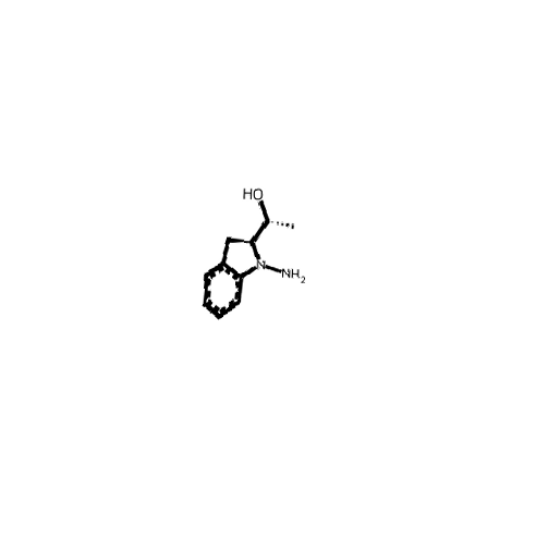 C[C@@H](O)[C@@H]1Cc2ccccc2N1N